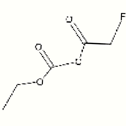 CCOC(=O)OC(=O)CF